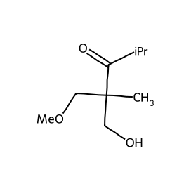 COCC(C)(CO)C(=O)C(C)C